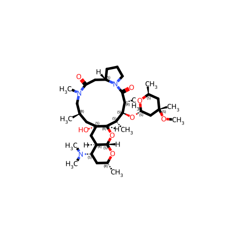 CO[C@]1(C)C[C@H](O[C@H]2[C@H](C)[C@H]3O[C@@H]4O[C@H](C)C[C@H](N(C)C)[C@H]4C[C@@]3(O)C[C@@H](C)CN(C)C(=O)C[C@@H]3CCCN3C(=O)[C@@H]2C)O[C@@H](C)C1